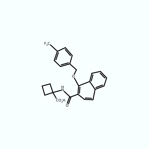 O=C(NC1(C(=O)O)CCC1)c1ccc2ccccc2c1OCc1ccc(C(F)(F)F)cc1